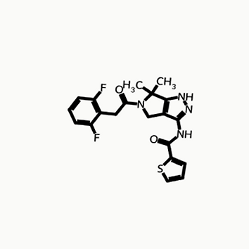 CC1(C)c2[nH]nc(NC(=O)c3cccs3)c2CN1C(=O)Cc1c(F)cccc1F